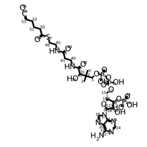 CC(C)(COP(=O)(O)OP(=O)(O)OC[C@H]1O[C@@H](n2cnc3c(N)ncnc32)[C@H](O)[C@@H]1OP(=O)(O)O)[C@@H](O)C(=O)NCCC(=O)NCCSC(=O)CCCC=C=O